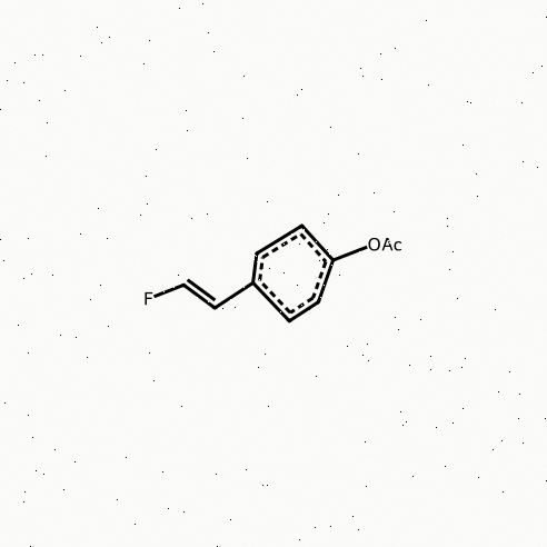 CC(=O)Oc1ccc(C=CF)cc1